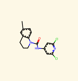 Cc1ccc2c(c1)CCCN2C(=O)Nc1cc(Cl)nc(Cl)c1